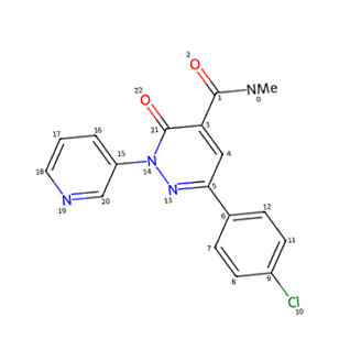 CNC(=O)c1cc(-c2ccc(Cl)cc2)nn(-c2cccnc2)c1=O